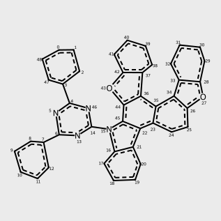 c1ccc(-c2nc(-c3ccccc3)nc(-n3c4ccccc4c4c5ccc6oc7ccccc7c6c5c5c6ccccc6oc5c43)n2)cc1